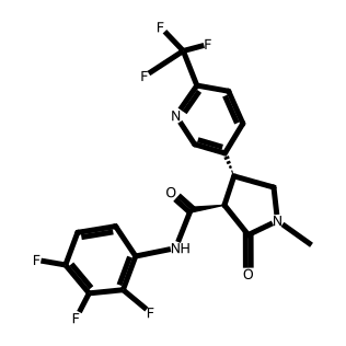 CN1C[C@@H](c2ccc(C(F)(F)F)nc2)[C@H](C(=O)Nc2ccc(F)c(F)c2F)C1=O